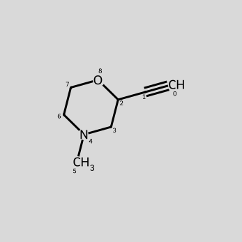 C#CC1CN(C)CCO1